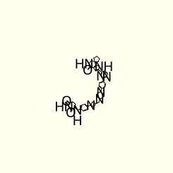 O=C1CCC(Nc2ccc(N3CC(CN4CCN(c5ccc(-c6nccc(-c7cc8c([nH]7)C7(CCCC7)CNC8=O)n6)cc5)CC4)C3)cc2)C(=O)N1